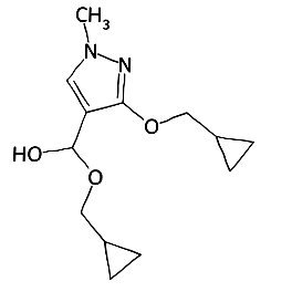 Cn1cc(C(O)OCC2CC2)c(OCC2CC2)n1